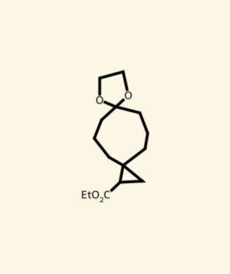 CCOC(=O)C1CC12CCCC1(CCC2)OCCO1